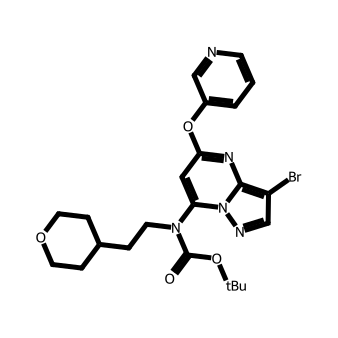 CC(C)(C)OC(=O)N(CCC1CCOCC1)c1cc(Oc2cccnc2)nc2c(Br)cnn12